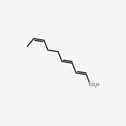 C/C=C\CCC=C/C=C/C(=O)O